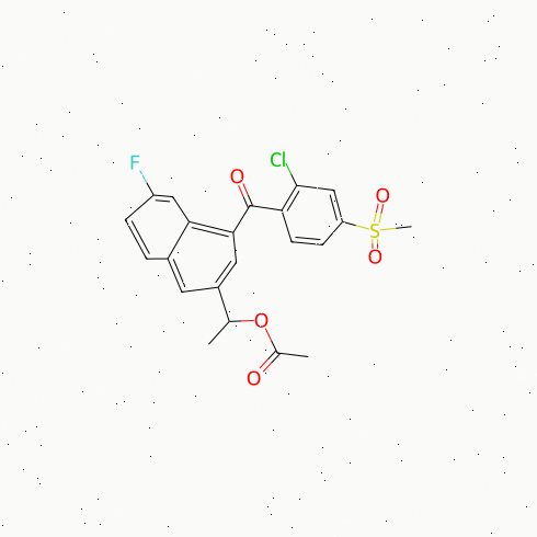 CC(=O)OC(C)c1cc(C(=O)c2ccc(S(C)(=O)=O)cc2Cl)c2cc(F)ccc2c1